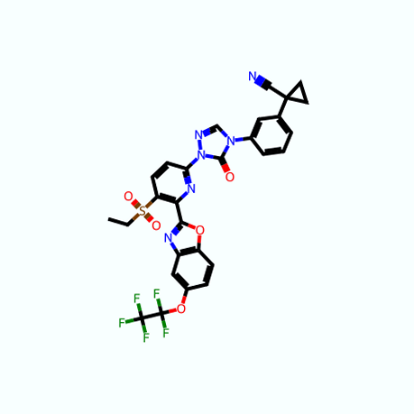 CCS(=O)(=O)c1ccc(-n2ncn(-c3cccc(C4(C#N)CC4)c3)c2=O)nc1-c1nc2cc(OC(F)(F)C(F)(F)F)ccc2o1